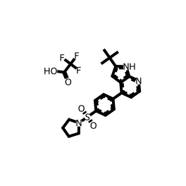 CC(C)(C)c1cc2c(-c3ccc(S(=O)(=O)N4CCCC4)cc3)ccnc2[nH]1.O=C(O)C(F)(F)F